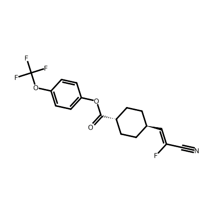 N#CC(F)=C[C@H]1CC[C@H](C(=O)Oc2ccc(OC(F)(F)F)cc2)CC1